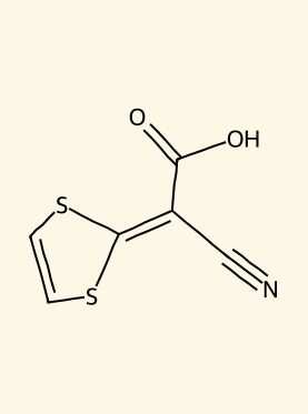 N#CC(C(=O)O)=C1SC=CS1